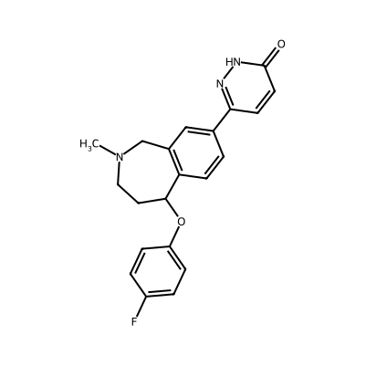 CN1CCC(Oc2ccc(F)cc2)c2ccc(-c3ccc(=O)[nH]n3)cc2C1